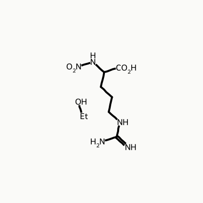 CCO.N=C(N)NCCCC(N[N+](=O)[O-])C(=O)O